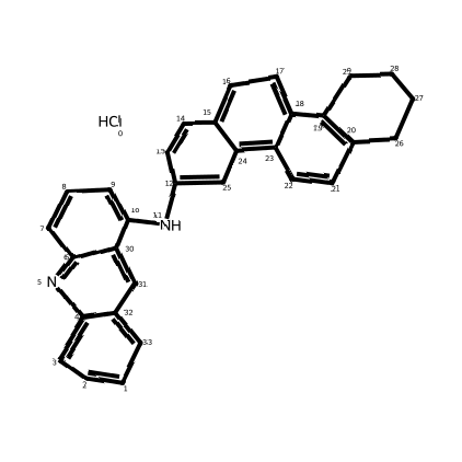 Cl.c1ccc2nc3cccc(Nc4ccc5ccc6c7c(ccc6c5c4)CCCC7)c3cc2c1